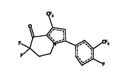 O=C1c2c(C(F)(F)F)cc(-c3ccc(F)c(C(F)(F)F)c3)n2CCC1(F)F